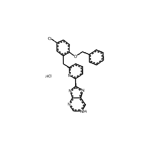 Cl.Clc1ccc(OCc2ccccc2)c(Cc2cccc(-c3nc4c[nH]cnc-4n3)n2)c1